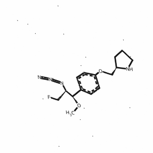 CO[C@H](c1ccc(OC[C@H]2CCCN2)cc1)[C@@H](CF)N=[N+]=[N-]